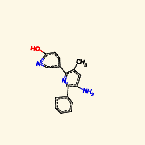 Cc1cc(N)c(-c2ccccc2)nc1-c1ccc(O)nc1